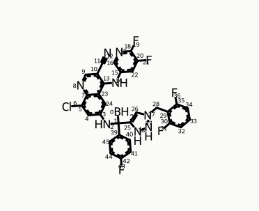 BC(Nc1cc(Cl)c2ncc(C#N)c(Nc3cnc(F)c(F)c3)c2c1)(C1=CN(Cc2c(F)cccc2F)NN1)c1ccc(F)cc1